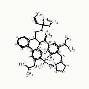 C=NC(C)(/C=C\C)CCC1c2ccccc2-c2cc(CC(C)C)c([Si](C)(C)C)c[n+]2C1C(=C)[n+]1cc(C(C)C)c(CC2CCCC2)cc1C